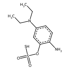 CCN(CC)c1ccc(N)c(OS(=O)(=O)S)c1